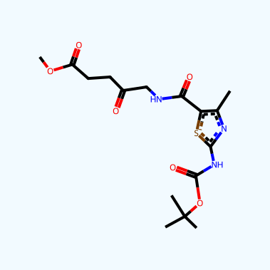 COC(=O)CCC(=O)CNC(=O)c1sc(NC(=O)OC(C)(C)C)nc1C